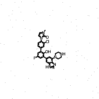 Cn1ccn(-c2ccc(-c3cc(F)cc(-c4cc(N5CCNCC5)c5nn[nH]c5c4)c3O)cc2Cl)c1=O